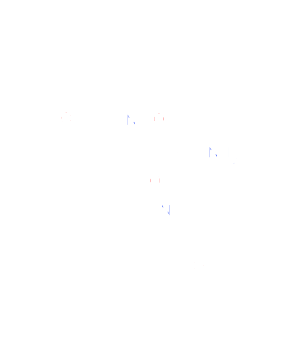 NP(ON1CCOCC1)ON1CCOCC1